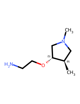 C[C@@H]1CN(C)C[C@H]1OCCN